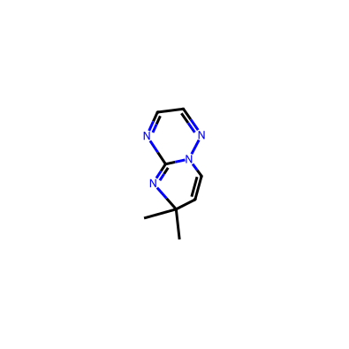 CC1(C)C=CN2N=CC=NC2=N1